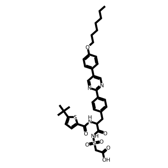 CCCCCCCOc1ccc(-c2cnc(-c3ccc(CC(NC(=O)c4ccc(C(C)(C)C)s4)C(=O)NS(=O)(=O)CC(=O)O)cc3)nc2)cc1